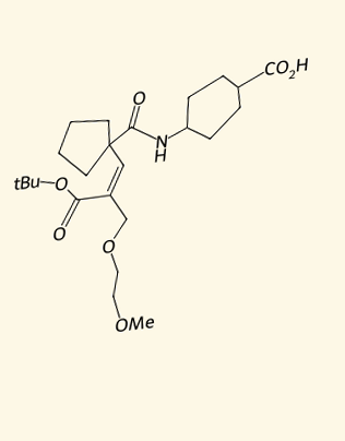 COCCOCC(=CC1(C(=O)NC2CCC(C(=O)O)CC2)CCCC1)C(=O)OC(C)(C)C